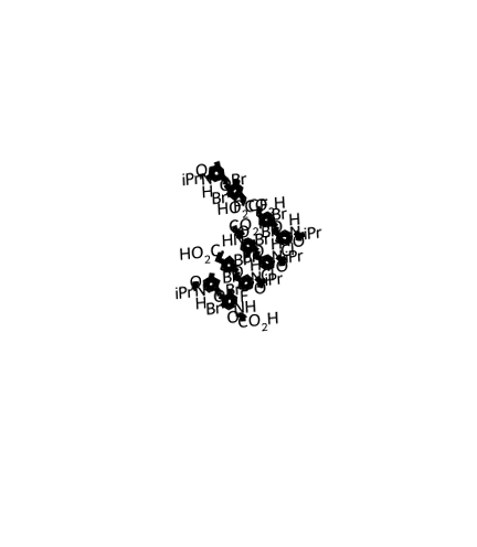 CC(C)C(=O)Nc1cc(Cl)cc(COc2c(Br)cc(CC(F)C(=O)O)cc2Br)c1.CC(C)C(=O)Nc1cc(Cl)cc(COc2c(Br)cc(NC(=O)CC(=O)O)cc2Br)c1.CC(C)C(=O)Nc1cc(F)cc(COc2c(Br)cc(CCC(=O)O)cc2Br)c1.Cc1cc(COc2c(Br)cc(CC(F)C(=O)O)cc2Br)cc(NC(=O)C(C)C)c1.Cc1cc(COc2c(Br)cc(NC(=O)CC(=O)O)cc2Br)cc(NC(=O)C(C)C)c1